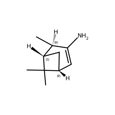 C[C@H]1C(N)=C[C@H]2C[C@@H]1C2(C)C